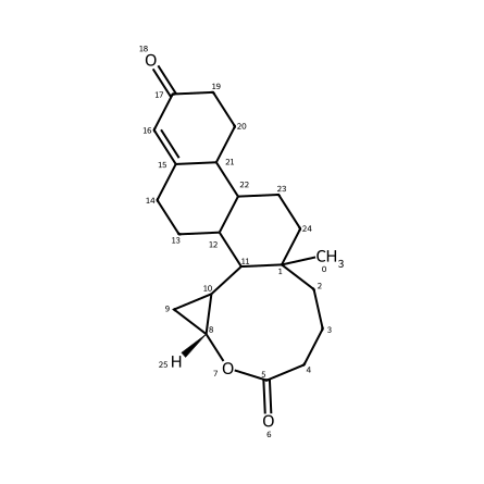 CC12CCCC(=O)O[C@@H]3CC3C1C1CCC3=CC(=O)CCC3C1CC2